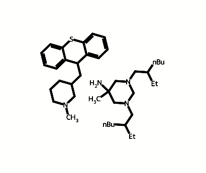 CCCCC(CC)CN1CN(CC(CC)CCCC)CC(C)(N)C1.CN1CCCC(CC2c3ccccc3Sc3ccccc32)C1